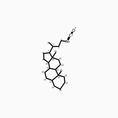 CC(CCN=C=O)C1CCC2C3CCC4CCCCC4(C)C3CCC12C